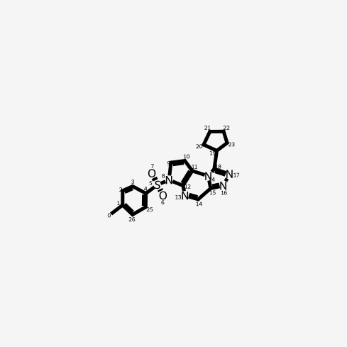 Cc1ccc(S(=O)(=O)n2ccc3c2ncc2nnc(C4CCCC4)n23)cc1